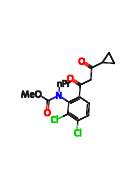 CCCN(C(=O)OC)c1c(C(=O)CC(=O)C2CC2)ccc(Cl)c1Cl